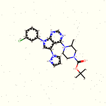 CC1CN(C(=O)OC(C)(C)C)CCN1c1ncnc2c1c(-n1cccn1)cn2-c1cccc(Cl)c1